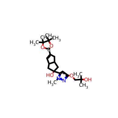 Cn1nc(OCC(C)(C)O)cc1C1(O)CC2C=C(B3OC(C)(C)C(C)(C)O3)CC2C1